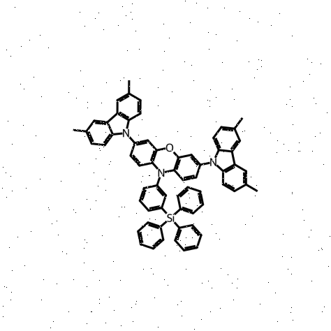 Cc1ccc2c(c1)c1cc(C)ccc1n2-c1ccc2c(c1)Oc1cc(-n3c4ccc(C)cc4c4cc(C)ccc43)ccc1N2c1cccc([Si](c2ccccc2)(c2ccccc2)c2ccccc2)c1